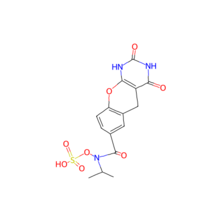 CC(C)N(OS(=O)(=O)O)C(=O)c1ccc2c(c1)Cc1c([nH]c(=O)[nH]c1=O)O2